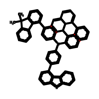 CC1(C)c2ccccc2-c2c(-c3ccc(N(c4ccc(-c5cccc6sc7ccccc7c56)cc4)c4ccccc4C4C=CC=C5C=CC=C(c6ccccc6)C54)cc3)cccc21